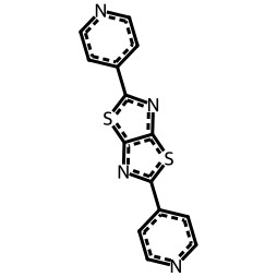 c1cc(-c2nc3sc(-c4ccncc4)nc3s2)ccn1